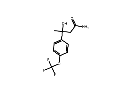 CC(O)(CC(N)=O)c1ccc(OC(F)(F)F)cc1